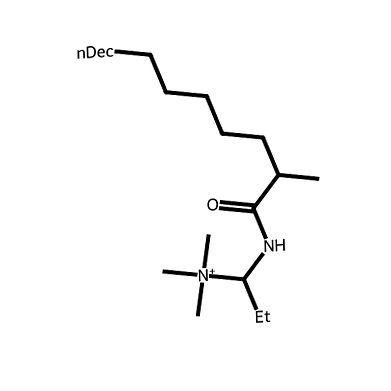 CCCCCCCCCCCCCCCC(C)C(=O)NC(CC)[N+](C)(C)C